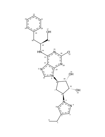 CCc1cnn([C@H]2C[C@@H](n3cnc4c(N[C@H](CO)Cc5ccccc5)nc(Cl)nc43)[C@H](O)[C@@H]2O)c1